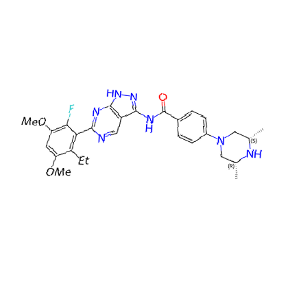 CCc1c(OC)cc(OC)c(F)c1-c1ncc2c(NC(=O)c3ccc(N4C[C@@H](C)N[C@@H](C)C4)cc3)n[nH]c2n1